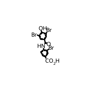 O=C(O)c1ccc(NC(=O)c2cc(Br)c(O)c(Br)c2)c(Br)c1